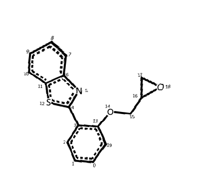 c1ccc(-c2nc3ccccc3s2)c(OCC2CO2)c1